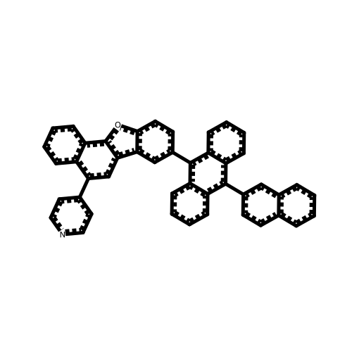 c1ccc2cc(-c3c4ccccc4c(-c4ccc5oc6c7ccccc7c(-c7ccncc7)cc6c5c4)c4ccccc34)ccc2c1